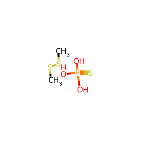 CSSC.OP(O)(O)=S